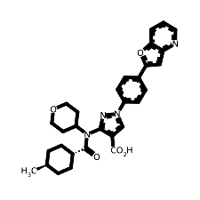 C[C@H]1CC[C@H](C(=O)N(c2nn(-c3ccc(-c4cc5ncccc5o4)cc3)cc2C(=O)O)C2CCOCC2)CC1